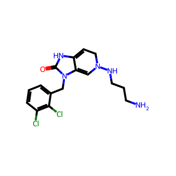 NCCCNN1C=c2c([nH]c(=O)n2Cc2cccc(Cl)c2Cl)=CC1